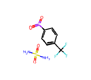 NS(N)(=O)=O.O=I(=O)c1ccc(C(F)(F)F)cc1